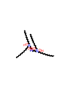 CCCCCCCCCCCCC(O)CN(CCCN(C)CCCN(CC(O)CCCCCCCCCCCC)CC(O)CCCCCCCCCCCC)CC(O)CCCCCCCCCCCC